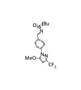 COc1cc(C(F)(F)F)nn1-c1ccc(C=N[S@@+]([O-])C(C)(C)C)cc1